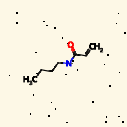 C=CC(=O)[N]CCCC